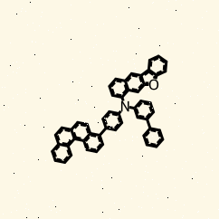 c1ccc(-c2cccc(N(c3ccc(-c4cccc5c4ccc4ccc6ccccc6c45)cc3)c3cccc4cc5c(cc34)oc3ccccc35)c2)cc1